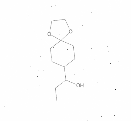 CCC(O)C1CCC2(CC1)OCCO2